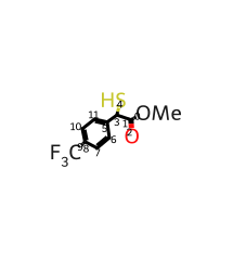 COC(=O)C(S)c1ccc(C(F)(F)F)cc1